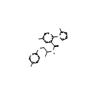 CCc1cccn1-c1ncc(C(F)(F)F)cc1C(=O)N(CC)C(C)COc1ccc(C(F)(F)F)cn1